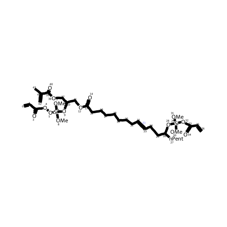 C=CC(=O)OO[Si](OC)(OC)OC(COC(=O)CCCCCCC/C=C/CCC(CCCCC)O[Si](OC)(OC)OC(=O)C=C)COC(=O)C(=C)C